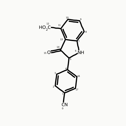 N#Cc1ccc(C2Nc3cccc(C(=O)O)c3C2=O)cc1